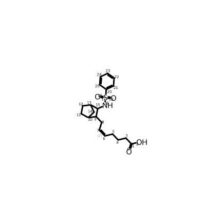 O=C(O)CCC/C=C\CC1C2CCC(C2)C1NS(=O)(=O)c1ccccc1